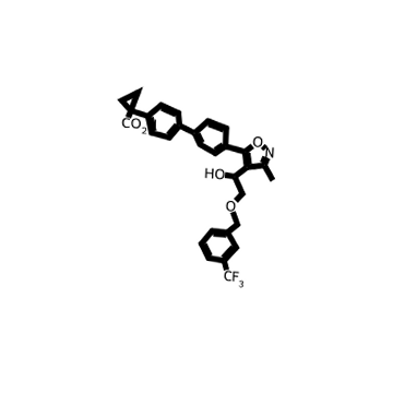 Cc1noc(-c2ccc(-c3ccc(C4(C(=O)O)CC4)cc3)cc2)c1C(O)COCc1cccc(C(F)(F)F)c1